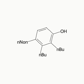 CCCCCCCCCc1ccc(O)c(CCCC)c1CCCC